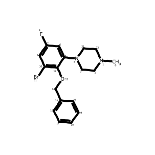 CN1CCN(c2cc(F)cc(Br)c2OCc2ccccc2)CC1